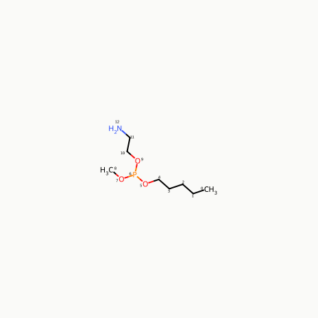 CCCCCOP(OC)OCCN